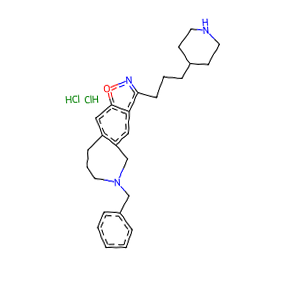 Cl.Cl.c1ccc(CN2CCCc3cc4onc(CCCC5CCNCC5)c4cc3C2)cc1